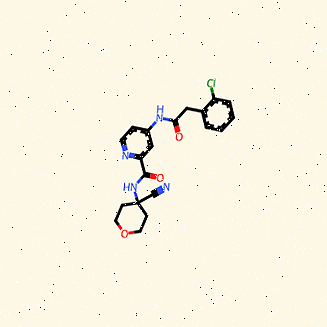 N#CC1(NC(=O)c2cc(NC(=O)Cc3ccccc3Cl)ccn2)CCOCC1